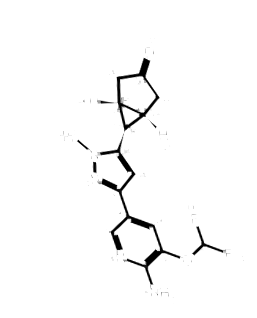 CC(C)n1nc(-c2cnc(N)c(OC(F)F)c2)cc1[C@H]1[C@@H]2CC(=O)C[C@@H]21